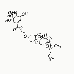 COC1=C(O)C=C(C(=O)OCCOC2CC[C@@]3(C)C(=CC[C@H]4[C@@H]5CC[C@H]([C@H](C)CCCC(C)C)[C@@]5(C)CC[C@@H]43)C2)CC1(O)O